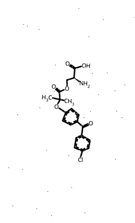 CC(C)(Oc1ccc(C(=O)c2ccc(Cl)cc2)cc1)C(=O)OC[C@H](N)C(=O)O